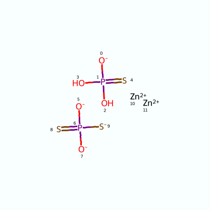 [O-]P(O)(O)=S.[O-]P([O-])(=S)[S-].[Zn+2].[Zn+2]